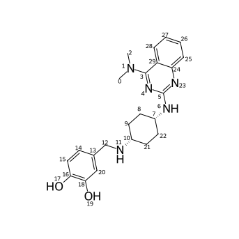 CN(C)c1nc(N[C@H]2CC[C@@H](NCc3ccc(O)c(O)c3)CC2)nc2ccccc12